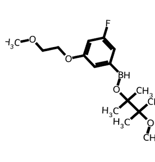 COCCOc1cc(F)cc(BOC(C)(C)C(C)(C)OC)c1